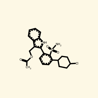 CC(=O)OCc1c(-c2cccc(C3CCC(Cl)CC3)c2S(N)(=O)=O)[nH]c2ccccc12